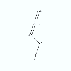 C=C=CCI